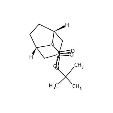 CC(C)(C)OC(=O)N1[C@@H]2CC[C@H]1CS(=O)(=O)C2